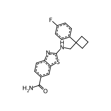 NC(=O)c1ccc2nc(NCC3(c4ccc(F)cc4)CCC3)sc2c1